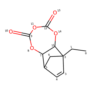 CCC12C=CC(C1)C1OC(=O)OC(=O)OC12